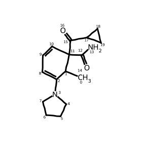 CC1C(N2CCCC2)=CC=CC1(C(N)=O)C(=O)C1CC1